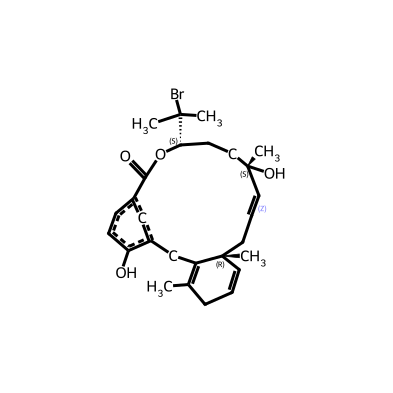 CC1=C2Cc3cc(ccc3O)C(=O)O[C@H](C(C)(C)Br)CC[C@](C)(O)/C=C\C[C@]2(C)C=CC1